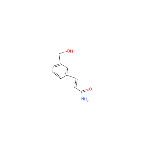 NC(=O)/C=C/c1cccc(CO)c1